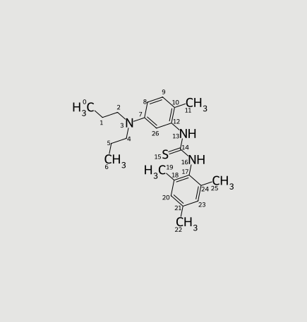 CCCN(CCC)c1ccc(C)c(NC(=S)Nc2c(C)cc(C)cc2C)c1